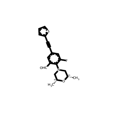 C[C@@H]1CN(c2c(F)cc(C#Cc3cccs3)cc2C=O)C[C@H](C)O1